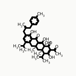 C=C(Cc1ccc(C)cc1)Cc1cc(C(C)C)c2c(c1O)C(=O)C1=C(O)[C@@]3(O)C(=O)C(C(C)=O)=C(O)C(C(C)C)[C@@]3(C)C[C@@]1(C)C2